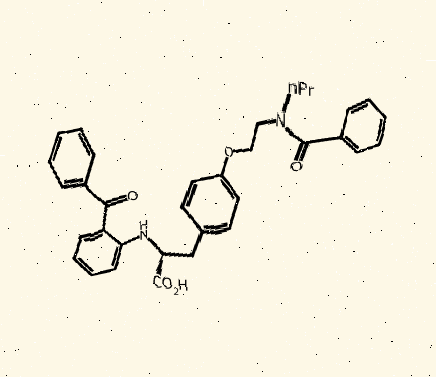 CCCN(CCOc1ccc(C[C@H](Nc2ccccc2C(=O)c2ccccc2)C(=O)O)cc1)C(=O)c1ccccc1